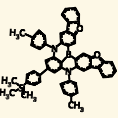 Cc1ccc(N2c3cc4c(cc3B3c5cc6oc7ccccc7c6cc5N(c5ccc(C)cc5)c5cc(-c6ccc([Si](C)(C)C)cc6)cc2c53)oc2ccccc24)cc1